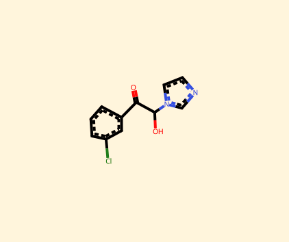 O=C(c1cccc(Cl)c1)C(O)n1ccnc1